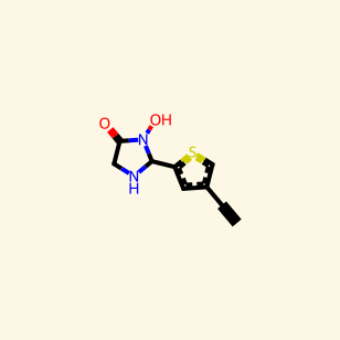 C#Cc1csc(C2NCC(=O)N2O)c1